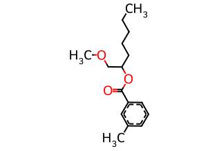 CCCCCC(COC)OC(=O)c1cccc(C)c1